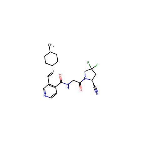 C[C@H]1CC[C@H](/C=C/c2cnccc2C(=O)NCC(=O)N2CC(F)(F)C[C@H]2C#N)CC1